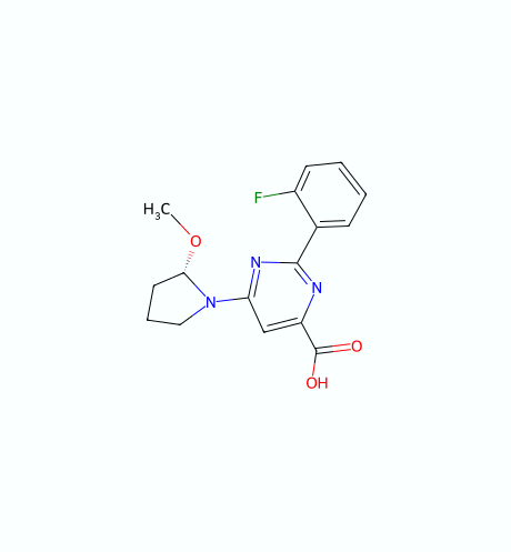 CO[C@H]1CCCN1c1cc(C(=O)O)nc(-c2ccccc2F)n1